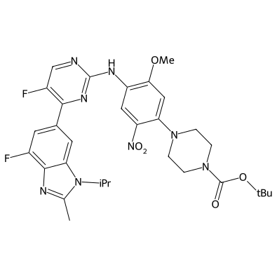 COc1cc(N2CCN(C(=O)OC(C)(C)C)CC2)c([N+](=O)[O-])cc1Nc1ncc(F)c(-c2cc(F)c3nc(C)n(C(C)C)c3c2)n1